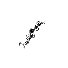 CC(=O)N(c1cnn(CCC(F)Cn2cc(C(=O)NCc3cccc(OC(F)(F)F)c3)nn2)c(=O)c1)C1CCCC1